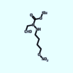 CC(C)(C)OC(=O)N(CC=O)NCCCCO[N+](=O)[O-]